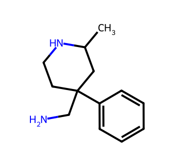 CC1CC(CN)(c2ccccc2)CCN1